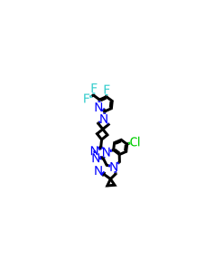 N#CC1(CN2Cc3cc(Cl)ccc3-n3c(nnc3C3CC4(C3)CN(c3ccc(F)c(C(F)F)n3)C4)C2)CC1